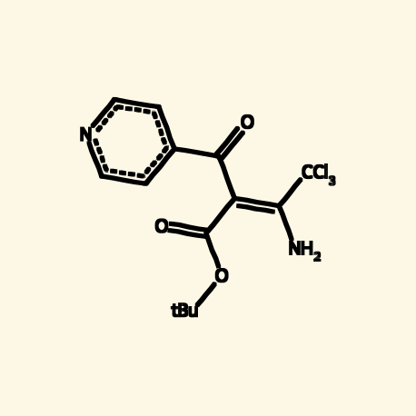 CC(C)(C)OC(=O)/C(C(=O)c1ccncc1)=C(\N)C(Cl)(Cl)Cl